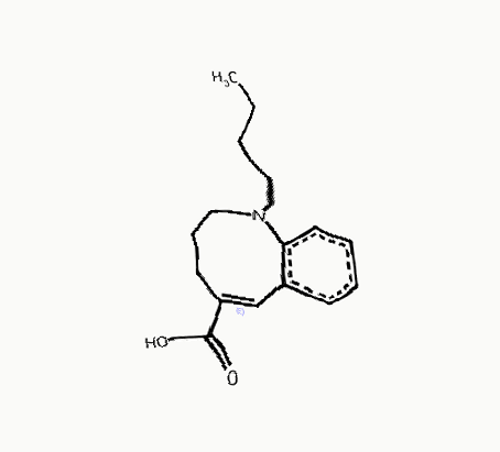 CCCCN1CCC/C(C(=O)O)=C\c2ccccc21